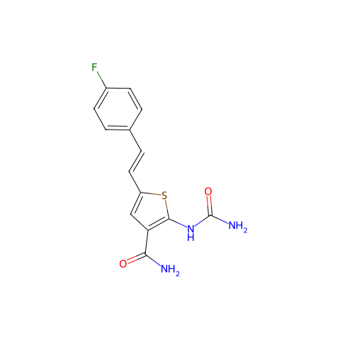 NC(=O)Nc1sc(/C=C/c2ccc(F)cc2)cc1C(N)=O